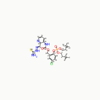 C[Si](C)(C)CCOP(=O)(OCC[Si](C)(C)C)Oc1ccc(Cl)cc1COC(=O)Nc1cccnc1C=NNC(N)=S